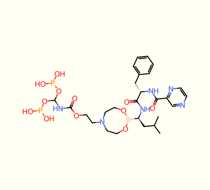 CC(C)C[C@H](NC(=O)[C@H](Cc1ccccc1)NC(=O)c1cnccn1)B1OCCN(CCOC(=O)NC(OP(O)O)OP(O)O)CCO1